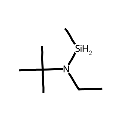 CCN([SiH2]C)C(C)(C)C